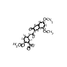 COc1cc(OC)c2cc(C(=O)Cc3ccc(OC)c([N+](=O)[O-])c3)c(=O)sc2c1